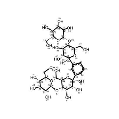 OC[C@H]1O[C@@H](O[C@H]2[C@H](O)[C@@H](O)[C@](S)(c3cccc([C@]4(S)O[C@H](CO)[C@@H](O[C@@H]5O[C@H](CO)[C@@H](O)[C@H](O)[C@H]5O)[C@H](O)[C@H]4O)c3)O[C@@H]2CO)[C@H](O)[C@@H](O)[C@@H]1O